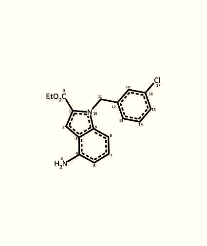 CCOC(=O)c1cc2c(N)cccc2n1Cc1cccc(Cl)c1